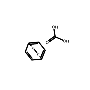 O=C(O)O.c1cc2ccc1CS2